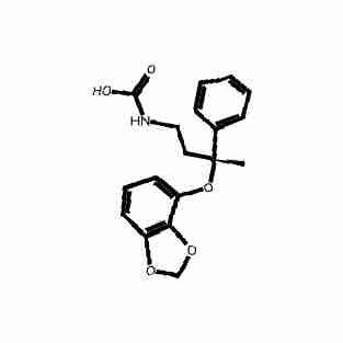 C[C@](CCNC(=O)O)(Oc1cccc2c1OCO2)c1ccccc1